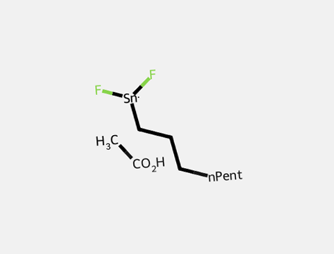 CC(=O)O.CCCCCCC[CH2][Sn]([F])[F]